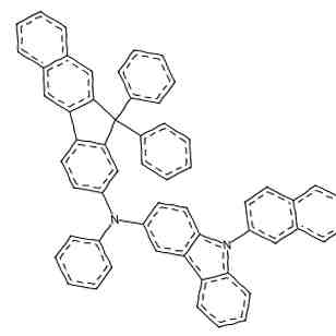 c1ccc(N(c2ccc3c(c2)C(c2ccccc2)(c2ccccc2)c2cc4ccccc4cc2-3)c2ccc3c(c2)c2ccccc2n3-c2ccc3ccccc3c2)cc1